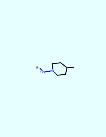 CC1CCN(NC(C)C)CC1